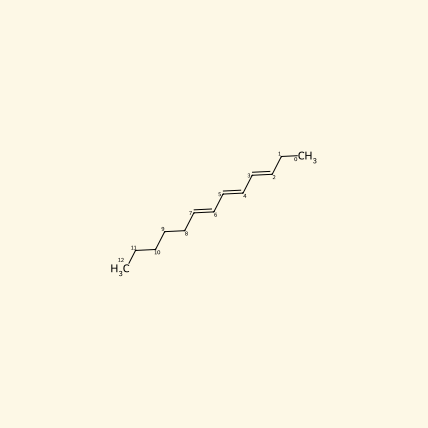 CC/C=C/C=C/C=C/CCCCC